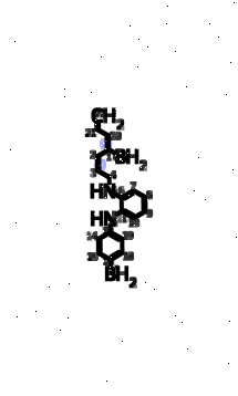 BC(/C=C\CNc1ccccc1Nc1ccc(B)cc1)=C/C=C